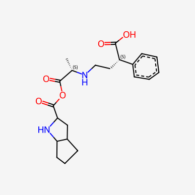 C[C@H](NCC[C@H](C(=O)O)c1ccccc1)C(=O)OC(=O)C1CC2CCCC2N1